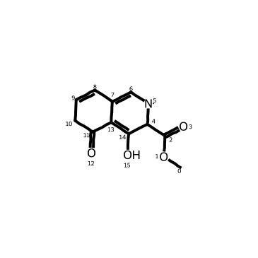 COC(=O)C1[N]C=C2C=CCC(=O)C2=C1O